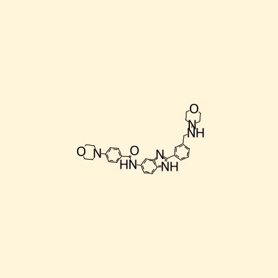 O=C(Nc1ccc2[nH]c(-c3cccc(CNN4CCOCC4)c3)nc2c1)c1ccc(N2CCOCC2)cc1